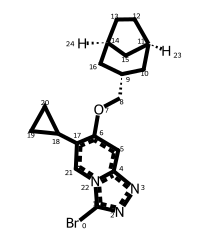 Brc1nnc2cc(OC[C@H]3C[C@@H]4CC[C@@H](C4)C3)c(C3CC3)cn12